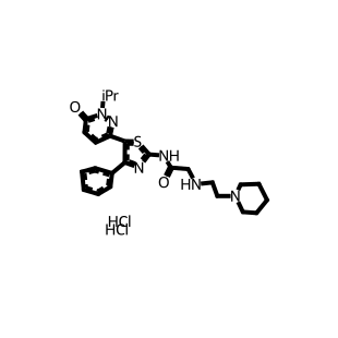 CC(C)n1nc(-c2sc(NC(=O)CNCCN3CCCCC3)nc2-c2ccccc2)ccc1=O.Cl.Cl